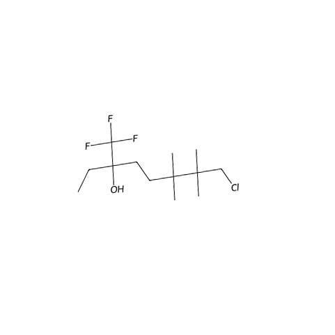 CCC(O)(CCC(C)(C)C(C)(C)CCl)C(F)(F)F